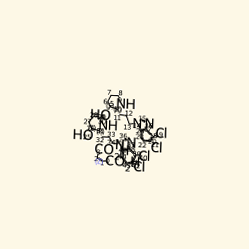 O=C(O)/C=C\C(=O)O.O[C@H]1CCCN[C@@H]1CCCn1cnc2c(Cl)c(Cl)ccc21.O[C@H]1CCCN[C@@H]1CCCn1cnc2c(Cl)c(Cl)ccc21